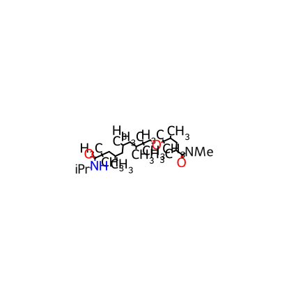 CNC(=O)C(C)CC(C)C(C)(C)OCC(C)(C)C(C)CC(C)CC(C)CC(C)(C)C(=O)NC(C)C